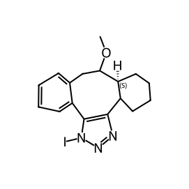 COC1Cc2ccccc2-c2c(nnn2I)C2CCCC[C@H]12